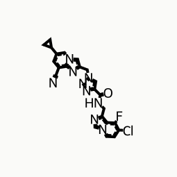 N#Cc1cc(C2CC2)cn2cc(Cn3cc(C(=O)NCc4ncn5ccc(Cl)c(F)c45)nn3)nc12